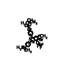 C=Cc1cc2c(N3CCC4(CC3)CN(C(=O)OC(C)(C)C)C4)nc(N3CCC(N(C)C)CC3)nc2c(OCC(F)(F)F)c1Br